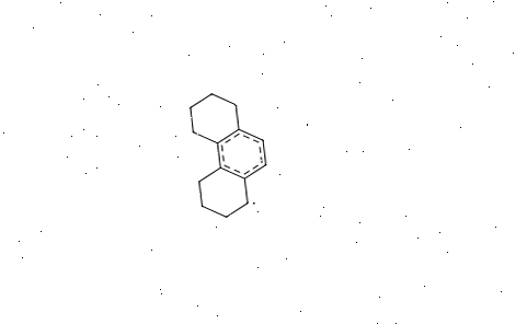 [CH]1CCCc2c1ccc1c2CCCC1